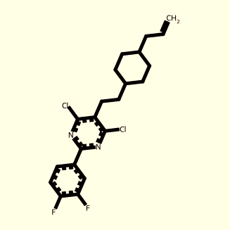 C=CCC1CCC(CCc2c(Cl)nc(-c3ccc(F)c(F)c3)nc2Cl)CC1